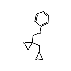 c1ccc(OCC2(CC3CO3)CO2)cc1